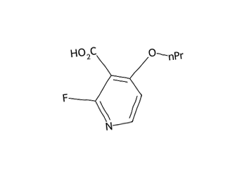 CCCOc1ccnc(F)c1C(=O)O